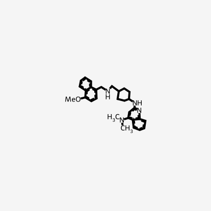 COc1ccc(CNCC2CCC(Nc3cc(N(C)C)c4ccccc4n3)CC2)c2ccccc12